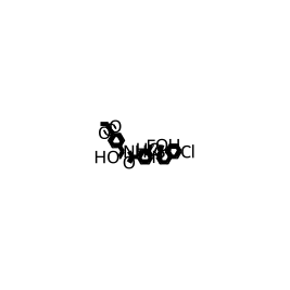 CCS(=O)(=O)c1ccc(C(CO)NC(=O)c2ccc(N3CCc4cc(Cl)ccc4S3(O)O)c(F)c2)cc1